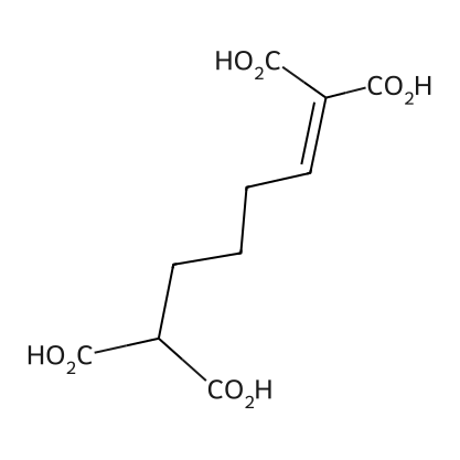 O=C(O)C(=CCCCC(C(=O)O)C(=O)O)C(=O)O